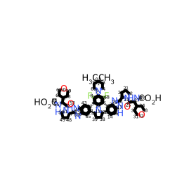 CC1(C)CCN(c2c(F)cc(N3[C@@H](c4ccc5[nH]c(C6CCCN6C(=O)C(NC(=O)O)C6CCOCC6)nc5c4)CC[C@H]3c3ccc4[nH]c(C5CCCN5C(=O)[C@@H](NC(=O)O)C5CCOCC5)nc4c3)cc2F)CC1